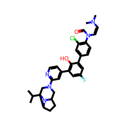 CC(C)C12CN(c3cc(-c4cc(F)cc(-c5ccc(N(C=O)/C=C\N(C)C)c(Cl)c5)c4O)ccn3)CC3CCC1N32